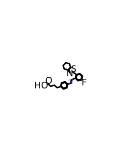 O=C(O)CCCc1ccc(/C=C/c2cc(F)ccc2-c2nc3c(s2)CCCC3)cc1